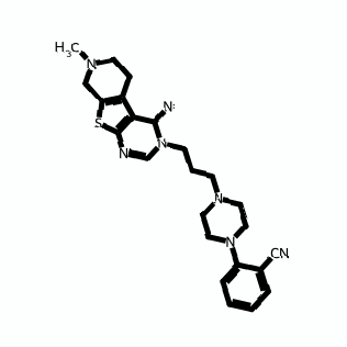 CN1CCc2c(sc3c2C([N])N(CCCN2CCN(c4ccccc4C#N)CC2)C=N3)C1